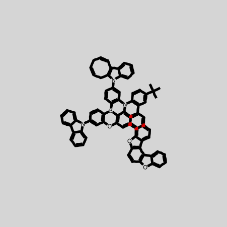 CC(C)(C)c1ccc(N2c3cc(-n4c5c(c6ccccc64)/C=C\C/C=C\C5)ccc3B3c4ccc(-n5c6ccccc6c6ccccc65)cc4Oc4cc(-c5cccc6c5oc5ccc7oc8ccccc8c7c56)cc2c43)c(-c2ccccc2)c1